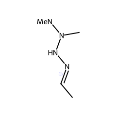 C/C=N/NN(C)NC